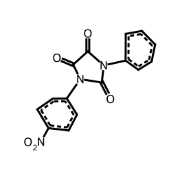 O=C1C(=O)N(c2ccc([N+](=O)[O-])cc2)C(=O)N1c1ccccc1